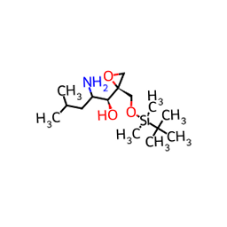 CC(C)CC(N)[C@H](O)[C@@]1(CO[Si](C)(C)C(C)(C)C)CO1